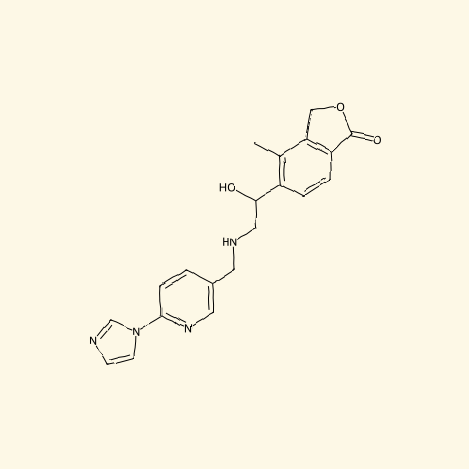 Cc1c(C(O)CNCc2ccc(-n3ccnc3)nc2)ccc2c1COC2=O